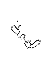 CN(C)c1cc(CC2CCN(c3ccc4ncncc4n3)C2)ncn1